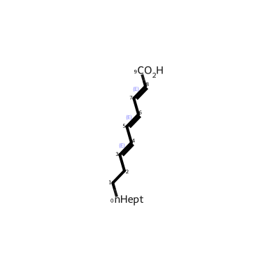 CCCCCCCCC/C=C/C=C/C=C/C(=O)O